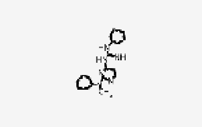 CN(c1ccccc1)c1nccc(NC(=N)Nc2ccccc2)n1